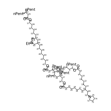 CCCCCC(CCCCC)CCOC(=O)CCCCCCCC(CCCCCCCC(=O)OCCC(CCCCC)CC(CCC)C(CCCC)C(CCCCC)CC(=O)OCCCCCCCCC(CCCCCCCCOC(=O)CC(CCCCC)CCCCC)CN(CC)CC)CCN1CCCC1